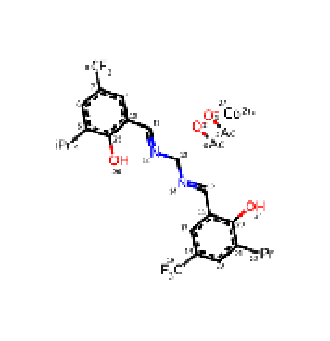 CC(=O)[O-].CC(=O)[O-].CC(C)c1cc(C(F)(F)F)cc(C=NCN=Cc2cc(C(F)(F)F)cc(C(C)C)c2O)c1O.[Co+2]